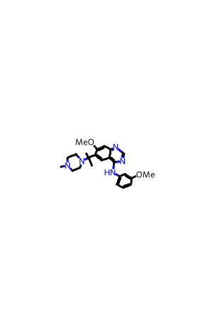 COc1cccc(Nc2ncnc3cc(OC)c(C(C)(C)N4CCN(C)CC4)cc23)c1